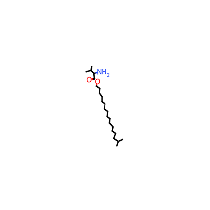 CC(C)CCCCCCCCCCCCCCCOC(=O)C(N)C(C)C